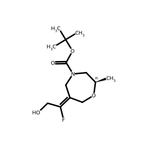 C[C@@H]1CN(C(=O)OC(C)(C)C)CC(=C(F)CO)CO1